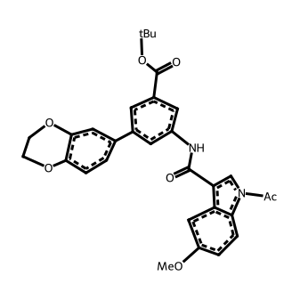 COc1ccc2c(c1)c(C(=O)Nc1cc(C(=O)OC(C)(C)C)cc(-c3ccc4c(c3)OCCO4)c1)cn2C(C)=O